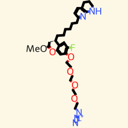 COC(=O)C[C@H](CCCCCCc1ccc2c(n1)NCCC2)c1ccc(OCCOCCOCCOCCN=[N+]=[N-])c(F)c1